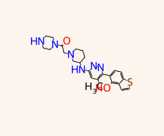 Cc1cc(NC2CCCN(CC(=O)N3CCNCC3)C2)nnc1-c1ccc2sccc2c1O